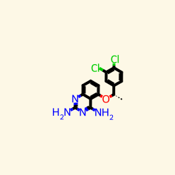 C[C@H](Oc1cccc2nc(N)nc(N)c12)c1ccc(Cl)c(Cl)c1